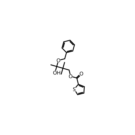 CC(C)(COC(=O)c1cccs1)C(C)(O)OCc1ccccc1